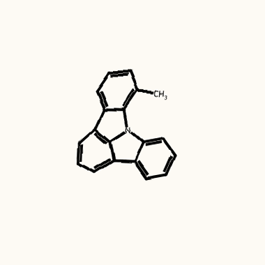 Cc1cccc2c3cccc4c5ccccc5n(c12)c43